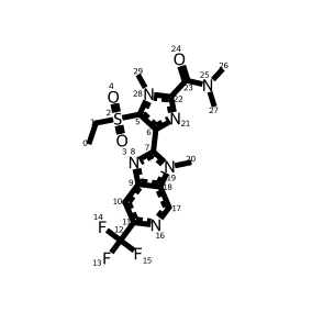 CCS(=O)(=O)c1c(-c2nc3cc(C(F)(F)F)ncc3n2C)nc(C(=O)N(C)C)n1C